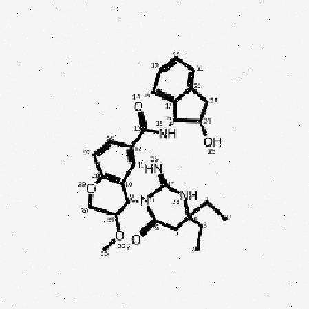 CCC1(CC)CC(=O)N([C@H]2c3cc(C(=O)N[C@@H]4c5ccccc5C[C@H]4O)ccc3OCC2OC)C(=N)N1